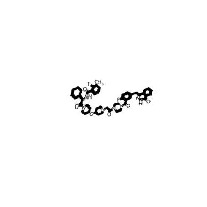 Cc1cccc(C(=O)N[C@@H](C(=O)N2CCC(OC3CCN(CC(=O)N4CCN(C(=O)c5cc(Cc6n[nH]c(=O)c7ccccc67)ccc5F)CC4)CC3)CC2)C2CCCCC2)c1F